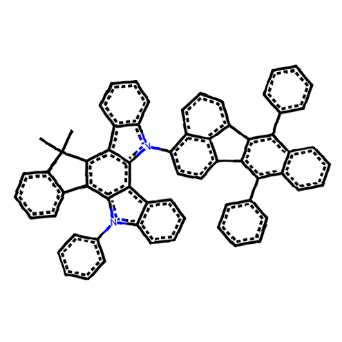 CC1(C)c2ccccc2-c2c1c1c3ccccc3n(-c3ccc4c5c(cccc35)-c3c-4c(-c4ccccc4)c4ccccc4c3-c3ccccc3)c1c1c3ccccc3n(-c3ccccc3)c21